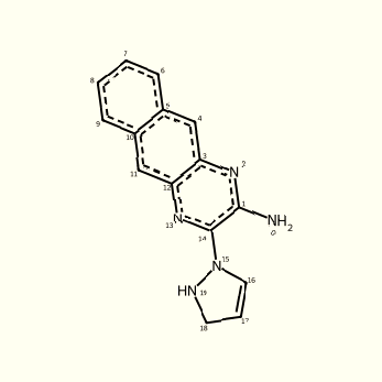 Nc1nc2cc3ccccc3cc2nc1N1C=CCN1